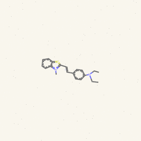 CCN(CC)c1ccc(/C=C/c2sc3ccccc3[n+]2C)cc1